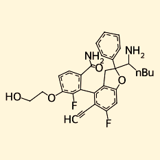 C#Cc1c(F)cc2c(c1-c1c(C(N)=O)ccc(OCCO)c1F)CC(c1ccccc1)(C(N)CCCC)O2